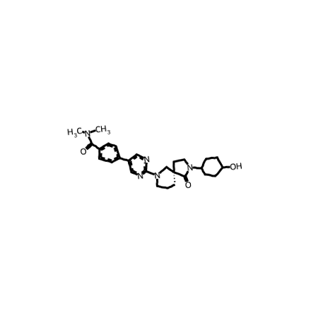 CN(C)C(=O)c1ccc(-c2cnc(N3CCC[C@@]4(CCN(C5CCC(O)CC5)C4=O)C3)nc2)cc1